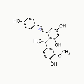 COc1cc(C(C)c2c(O)cc(O)cc2/C=C/c2ccc(O)cc2)ccc1O